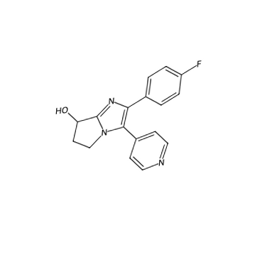 OC1CCn2c1nc(-c1ccc(F)cc1)c2-c1ccncc1